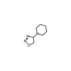 C1CCN(C2CON=N2)CC1